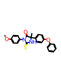 COc1ccc(N2C(=O)C(C)(c3ccc(Oc4ccccc4)cc3)NC2=S)cc1